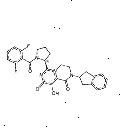 O=C1c2c(O)c(=O)nc([C@@H]3CCCN3C(=O)c3c(F)cccc3F)n2CCN1C1Cc2ccccc2C1